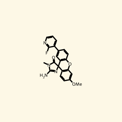 COc1ccc2c(c1)Oc1ccc(-c3cccnc3F)cc1C21N=C(N)N(C)C1=O